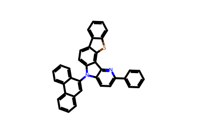 c1ccc(-c2ccc3c(n2)c2c4sc5ccccc5c4ccc2n3-c2cc3ccccc3c3ccccc23)cc1